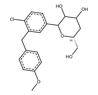 COc1ccc(Cc2cc(C3O[C@@H](CO)CC(O)C3O)ccc2Cl)cc1